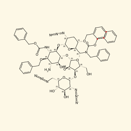 C[C@H]([C@H]1O[C@H](O[C@@H]2[C@@H](NC(=O)OCc3ccccc3)[C@H](OCc3ccccc3)[C@@H](N)[C@H](O)[C@H]2O[C@@H]2O[C@H](CO)[C@@H](O[C@H]3O[C@@H](CN=[N+]=[N-])[C@@H](O)[C@H](O)[C@H]3N=[N+]=[N-])[C@H]2O)[C@H](N=[N+]=[N-])C[C@@H]1OCc1ccccc1)N(Cc1ccccc1)C(=O)OCc1ccccc1